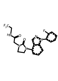 O=C(CN1CCN(c2cccc3c2cnn3-c2ccccc2F)C1=O)NCC(F)(F)F